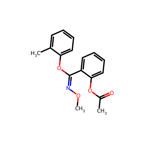 CO/N=C(/Oc1ccccc1C)c1ccccc1OC(C)=O